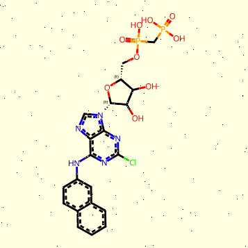 O=P(O)(O)CP(=O)(O)OC[C@H]1O[C@@H](n2cnc3c(Nc4ccc5ccccc5c4)nc(Cl)nc32)C(O)C1O